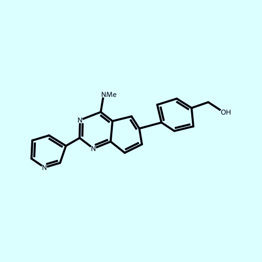 CNc1nc(-c2cccnc2)nc2ccc(-c3ccc(CO)cc3)cc12